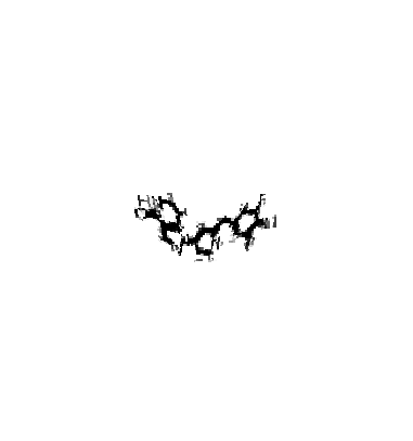 O=C1NCCc2c1cnn2-c1ccnc(Cc2cc(F)c(Cl)c(F)c2)c1